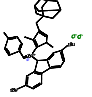 CC1=[C](/[Zr+2](=[CH]\c2ccc(C)cc2)[CH]2c3cc(C(C)(C)C)ccc3-c3ccc(C(C)(C)C)cc32)C(C)C=C1CC12CC3CC(CC(C3)C1)C2.[Cl-].[Cl-]